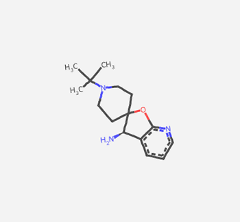 CC(C)(C)N1CCC2(CC1)Oc1ncccc1[C@H]2N